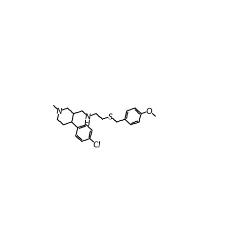 COc1ccc(CSCCNCC2CN(C)CCC2c2ccc(Cl)cc2)cc1